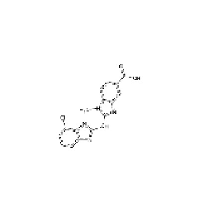 Cn1c(Nc2nc3c(Cl)cccc3s2)nc2cc(C(=O)O)ccc21